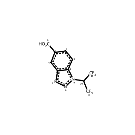 O=C(O)c1ccc2c(c1)nnn2C(C(F)(F)F)C(F)(F)F